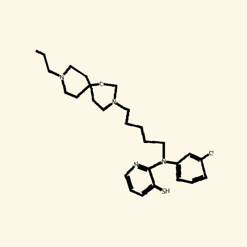 CCCN1CCC2(CC1)CCN(CCCCCN(c1cccc(Cl)c1)c1ncccc1S)CC2